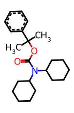 CC(C)(OC(=O)N(C1CCCCC1)C1CCCCC1)c1ccccc1